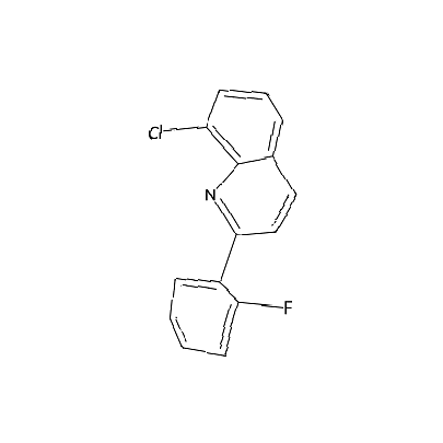 Fc1ccccc1-c1ccc2cccc(Cl)c2n1